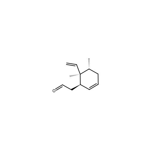 C=C[C@@]1(C)[C@H](C)CC=C[C@H]1CC=O